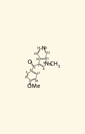 COc1ccc(C(=O)c2cn(C)c3cnccc23)cc1